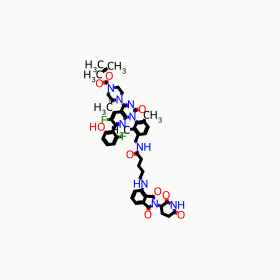 Cc1ccc(CNC(=O)CCCCNc2cccc3c2C(=O)N(C2CCC(=O)NC2=O)C3=O)c(C)c1-n1c(=O)nc(N2CCN(C(=O)OC(C)(C)C)C[C@@H]2C)c2cc(F)c(-c3c(O)cccc3F)nc21